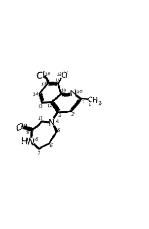 Cc1cc(N2CCCNC(=O)C2)c2ccc(Cl)c(Cl)c2n1